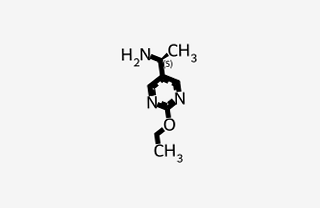 CCOc1ncc([C@H](C)N)cn1